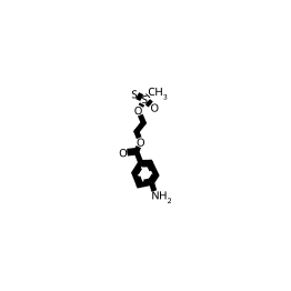 CS(=O)(=S)OCCOC(=O)c1ccc(N)cc1